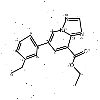 CCOC(=O)c1cc(-c2cccc(CC)c2)cn2ncnc12